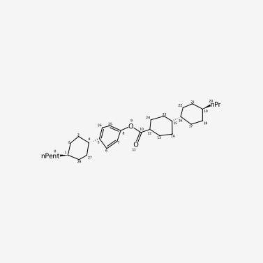 CCCCC[C@H]1CC[C@H](c2ccc(OC(=O)C3CCC([C@H]4CC[C@H](CCC)CC4)CC3)cc2)CC1